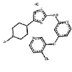 CC(=O)N1CCC(c2csc(Nc3cc(Oc4cnccc4C#N)ccn3)n2)CC1.Cl